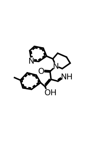 Cc1ccc(/C(O)=C(/C=N)C(=O)N2CCCCC2c2cccnc2)cc1